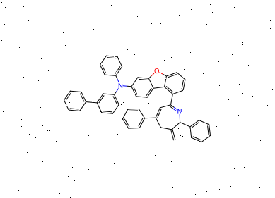 C=C1CC(c2ccccc2)=CC(c2cccc3oc4cc(N(c5ccccc5)c5cccc(-c6ccccc6)c5)ccc4c23)=NC1c1ccccc1